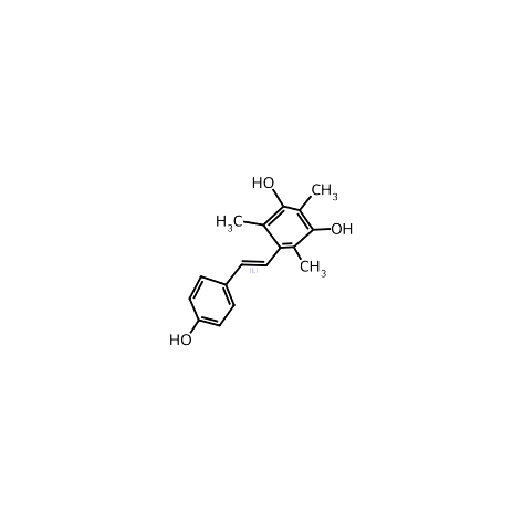 Cc1c(O)c(C)c(/C=C/c2ccc(O)cc2)c(C)c1O